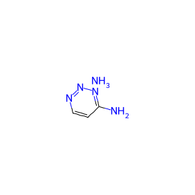 N.Nc1ccnnn1